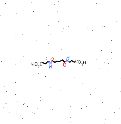 O=C(O)CCCNC(=O)CCCCC(=O)NCCCC(=O)O